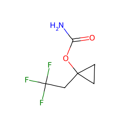 NC(=O)OC1(CC(F)(F)F)CC1